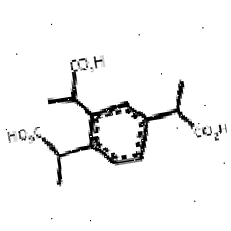 CC(C(=O)O)c1ccc(C(C)C(=O)O)c(C(C)C(=O)O)c1